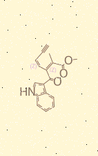 C#C/C=C\C(C(=O)c1c[nH]c2ccccc12)=C(/C)C(=O)OC